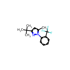 Cc1cc(C(C)(C)C)nn1-c1ccccc1C(F)(F)F